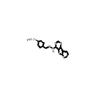 O=C(O)c1ccc(C=NNc2ncnc3c2sc2ncccc23)cc1